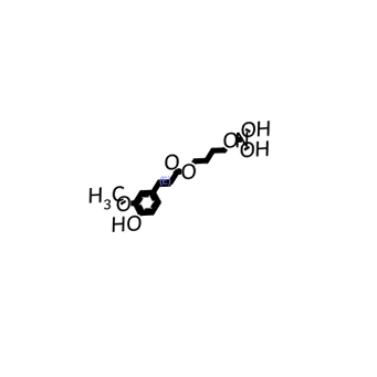 COc1cc(/C=C/C(=O)OCCCCON(O)O)ccc1O